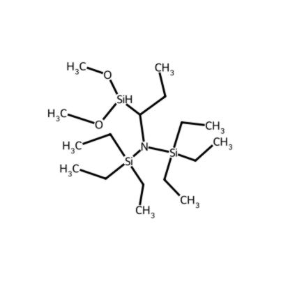 CCC(N([Si](CC)(CC)CC)[Si](CC)(CC)CC)[SiH](OC)OC